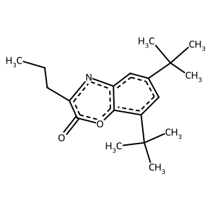 CCCc1nc2cc(C(C)(C)C)cc(C(C)(C)C)c2oc1=O